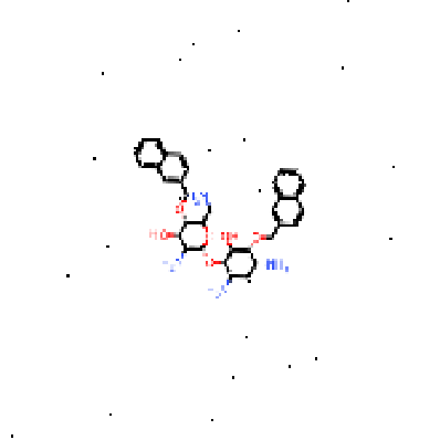 NCC1O[C@H](O[C@@H]2C(N)C[C@@H](N)[C@@H](OCc3ccc4ccccc4c3)C2O)C(N)[C@@H](O)[C@@H]1OCc1ccc2ccccc2c1